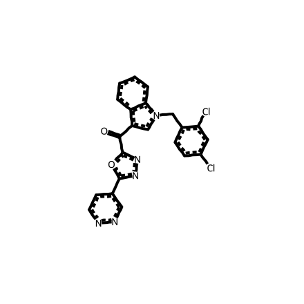 O=C(c1nnc(-c2ccnnc2)o1)c1cn(Cc2ccc(Cl)cc2Cl)c2ccccc12